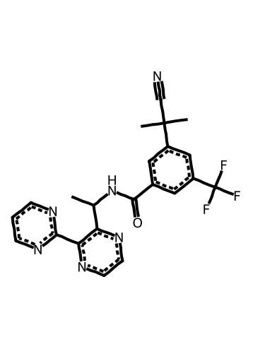 CC(NC(=O)c1cc(C(F)(F)F)cc(C(C)(C)C#N)c1)c1nccnc1-c1ncccn1